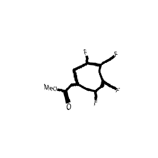 COC(=O)C1CC(F)C(F)C(F)C1F